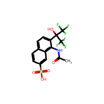 CC(=O)Nc1c(C(O)(C(F)(F)F)C(F)(F)F)ccc2ccc(S(=O)(=O)O)cc12